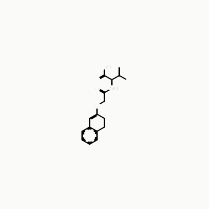 CC(C)C(NC(=O)COC1=Cc2ccccc2CC1)C(=O)O